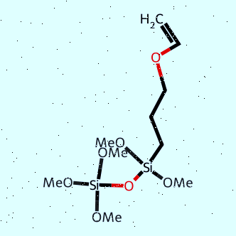 C=COCCC[Si](OC)(OC)O[Si](OC)(OC)OC